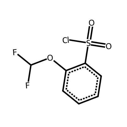 O=S(=O)(Cl)c1ccccc1OC(F)F